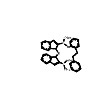 CCCCCCP(CCCCCC)C1=Cc2ccccc2[CH]1[Ti][CH]1C(P(CCCCCC)CCCCCC)=Cc2ccccc21.c1ccc(CCc2ccccc2)cc1